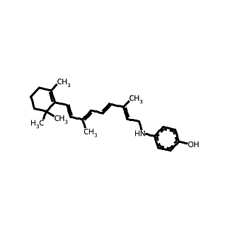 CC(C=CC1=C(C)CCCC1(C)C)=CC=CC(C)=CCNc1ccc(O)cc1